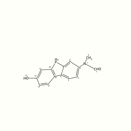 CN(C=O)c1ccc2c(c1)[pH]c1cc(O)ccc12